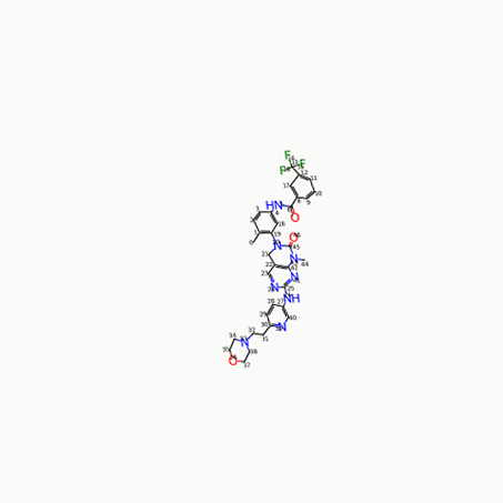 Cc1ccc(NC(=O)c2cccc(C(F)(F)F)c2)cc1N1Cc2cnc(Nc3ccc(CCN4CCOCC4)nc3)nc2N(C)C1=O